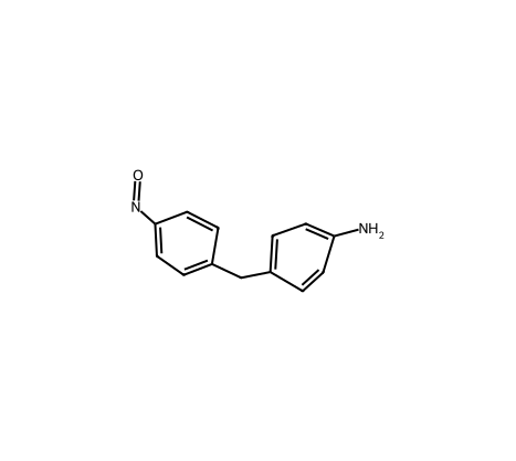 Nc1ccc(Cc2ccc(N=O)cc2)cc1